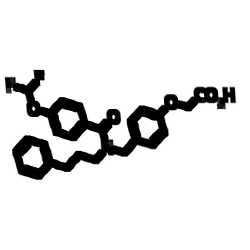 O=C(O)COc1ccc(CN(CCCc2ccccc2)C(=O)c2ccc(OC(F)F)cc2)cc1